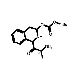 CCCCOC(=O)OC1Cc2ccccc2C(C(=O)[C@H](C)N)N1